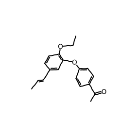 CC=Cc1ccc(OCC)c(Oc2ccc(C(C)=O)cc2)c1